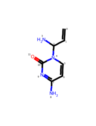 C=CC(N)n1ccc(N)nc1=O